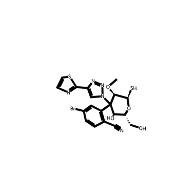 CO[C@H]1[C@@H](S)O[C@H](CO)[C@H](O)C1(c1cc(Br)ccc1C#N)n1cc(-c2nccs2)nn1